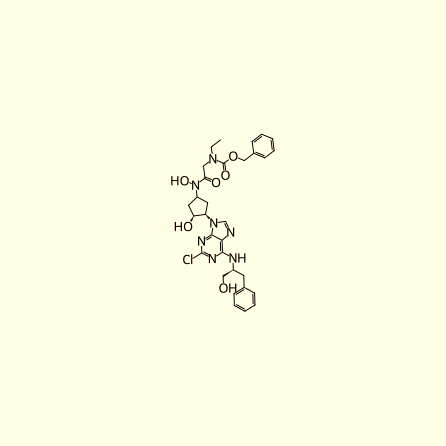 CCN(CC(=O)N(O)C1C[C@@H](n2cnc3c(N[C@H](CO)Cc4ccccc4)nc(Cl)nc32)[C@@H](O)C1)C(=O)OCc1ccccc1